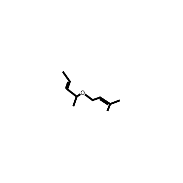 CC=CC(C)OCC=C(C)C